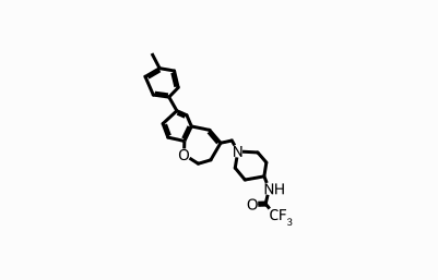 Cc1ccc(-c2ccc3c(c2)C=C(CN2CCC(NC(=O)C(F)(F)F)CC2)CCO3)cc1